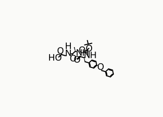 C[C@@H](NC(=O)[C@H](Cc1ccc(OCc2ccccc2)cc1)NC(=O)OC(C)(C)C)C(=O)NCC(=O)O